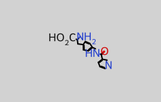 NC(Cc1ccc(CNC(=O)c2cccnc2)cc1)C(=O)O